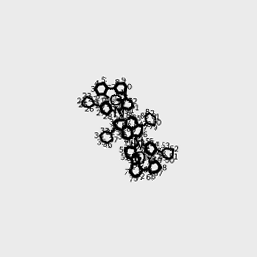 Cc1ccccc1-c1cccc2c1oc1c(N(c3ccc(C4CCCCC4)cc3)c3cc(C4CCCCC4)c4ccc5c(N(c6ccc(C7CCCCC7)cc6)c6cccc7c6oc6c(-c8ccccc8C)cccc67)cc(C6CCCCC6)c6ccc3c4c65)cccc12